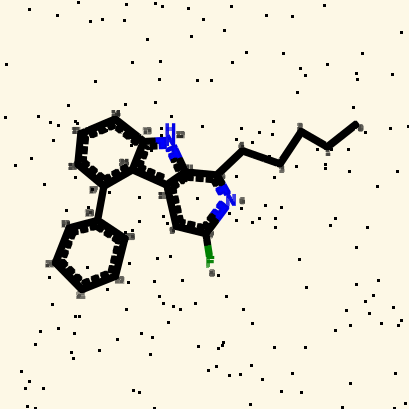 CCCCCc1nc(F)cc2c1[nH]c1cccc(-c3ccccc3)c12